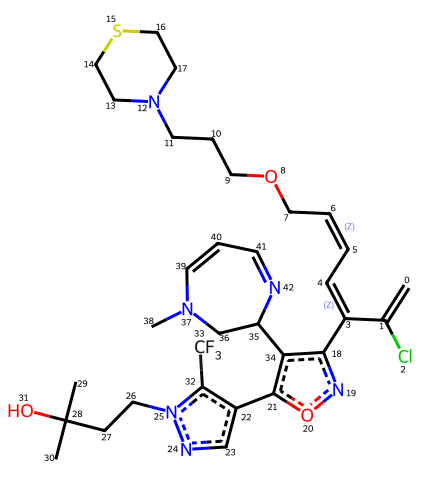 C=C(Cl)/C(=C\C=C/COCCCN1CCSCC1)c1noc(-c2cnn(CCC(C)(C)O)c2C(F)(F)F)c1C1CN(C)C=CC=N1